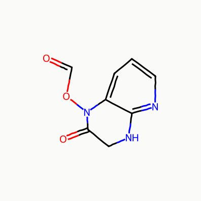 O=CON1C(=O)CNc2ncccc21